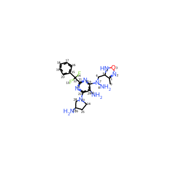 CC1=NONC1CN(N)c1nc(C(F)(F)c2ccccc2)nc(N2CCC(N)C2)c1N